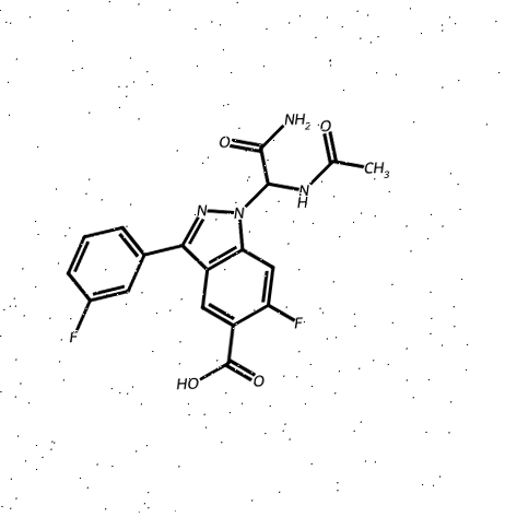 CC(=O)NC(C(N)=O)n1nc(-c2cccc(F)c2)c2cc(C(=O)O)c(F)cc21